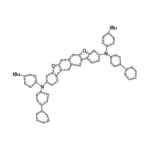 CC(C)(C)c1ccc(N(c2ccc(-c3ccccc3)cc2)c2ccc3c(c2)oc2cc4cc5oc6cc(N(c7ccc(-c8ccccc8)cc7)c7ccc(C(C)(C)C)cc7)ccc6c5cc4cc23)cc1